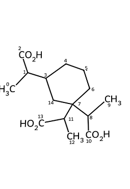 CC(C(=O)O)C1C[CH]CC(C(C)C(=O)O)(C(C)C(=O)O)C1